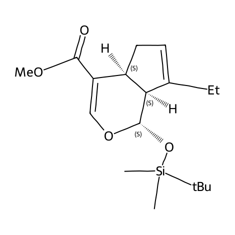 CCC1=CC[C@@H]2C(C(=O)OC)=CO[C@@H](O[Si](C)(C)C(C)(C)C)[C@H]12